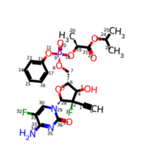 C#C[C@@]1(F)C(O)[C@@H](CO[P@](=O)(Oc2ccccc2)O[C@@H](C)C(=O)OC(C)C)O[C@H]1n1cc(F)c(N)nc1=O